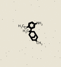 COc1ccc(N)cc1C1(C)CC2CC(C)CC(C2)C1